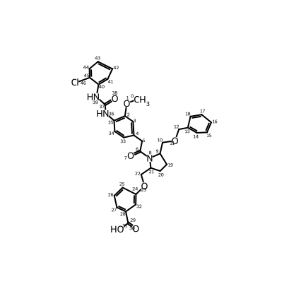 COc1cc(CC(=O)N2C(COCc3ccccc3)CCC2COc2cccc(C(=O)O)c2)ccc1NC(=O)Nc1ccccc1Cl